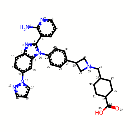 Nc1ncccc1-c1nc2ccc(-n3cccn3)cc2n1-c1ccc(C2CN(CC3CCC(C(=O)O)CC3)C2)cc1